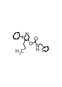 CCCc1c(OC(=O)NCc2cccs2)cnn1-c1ccccc1